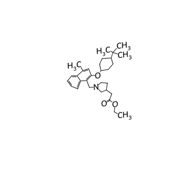 CCOC(=O)CC1CCN(Cc2c(OC3CCC(C(C)(C)C)CC3)cc(C)c3ccccc23)C1